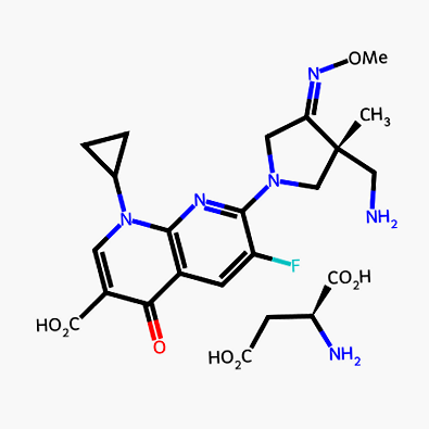 CON=C1CN(c2nc3c(cc2F)c(=O)c(C(=O)O)cn3C2CC2)C[C@@]1(C)CN.N[C@@H](CC(=O)O)C(=O)O